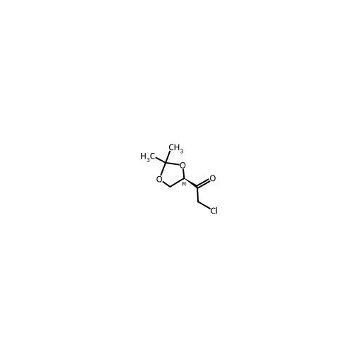 CC1(C)OC[C@H](C(=O)CCl)O1